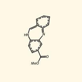 COC(=O)c1ccc2c(c1)N=c1ccccc1=CN2